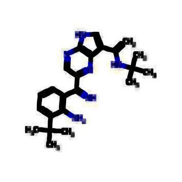 C=C(NC(C)(C)C)c1c[nH]c2ncc(C(=N)c3cccc(C(C)(C)C)c3N)nc12